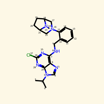 CC(C)n1cnc2c(NCc3ccccc3N3CC4CCC(C3)N4C)nc(Cl)nc21